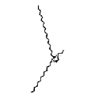 CCCCCCCCCCCCCCCCCCc1n(CCCCCCCCCCCCC)cc[n+]1CCC